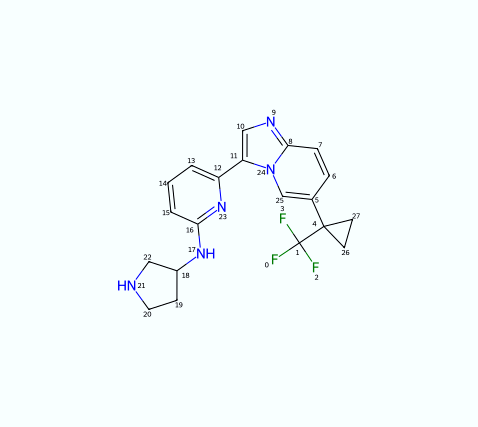 FC(F)(F)C1(c2ccc3ncc(-c4cccc(NC5CCNC5)n4)n3c2)CC1